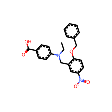 CCN(Cc1cc([N+](=O)[O-])ccc1OCc1ccccc1)c1ccc(C(=O)O)cc1